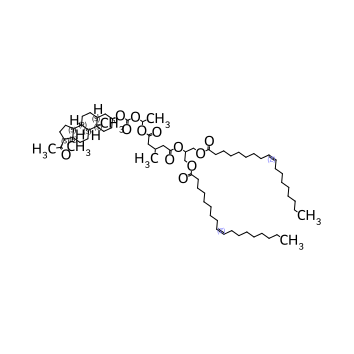 CCCCCCCC/C=C\CCCCCCCC(=O)OCC(COC(=O)CCCCCCC/C=C\CCCCCCCC)OC(=O)CC(C)CC(=O)OC(C)OC(=O)O[C@H]1CC[C@@]2(C)[C@@H](CC[C@@H]3[C@@H]2CC[C@]2(C)[C@@H](C(C)=O)CC[C@@H]32)C1